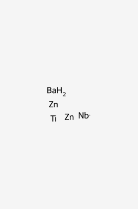 [BaH2].[Nb].[Ti].[Zn].[Zn]